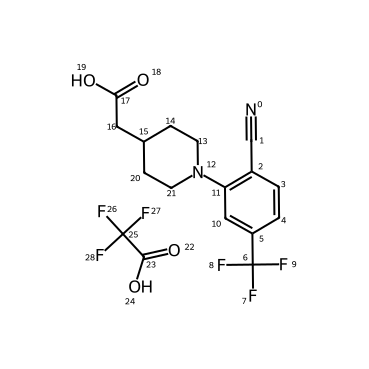 N#Cc1ccc(C(F)(F)F)cc1N1CCC(CC(=O)O)CC1.O=C(O)C(F)(F)F